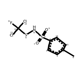 Cc1ccc(S(=O)(=O)NSC(F)(Cl)Cl)cc1